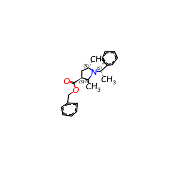 C[C@H]1C[C@H](C(=O)OCc2ccccc2)[C@H](C)N1[C@@H](C)c1ccccc1